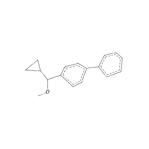 COC(c1ccc(-c2ccccc2)cc1)C1CC1